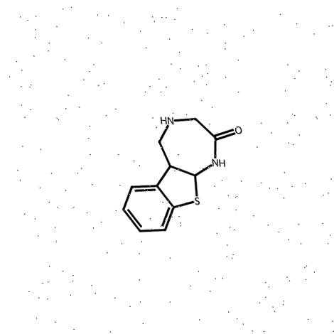 O=C1CNCC2c3ccccc3SC2N1